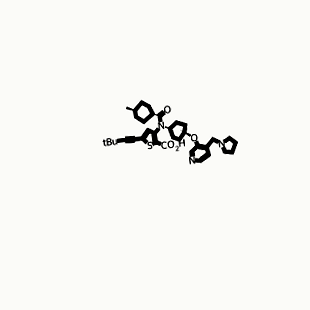 CC(C)(C)C#Cc1cc(N(C(=O)[C@H]2CC[C@H](C)CC2)[C@H]2CC[C@H](Oc3cnccc3CN3CCCC3)CC2)c(C(=O)O)s1